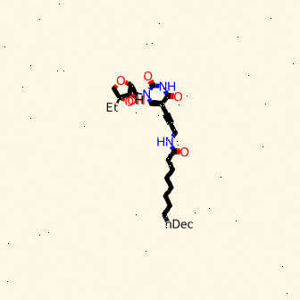 CCCCCCCCCCCCCCCCCC(=O)NCC#Cc1cn([C@@H]2O[C@]3(CC)COC2[C@@H]3O)c(=O)[nH]c1=O